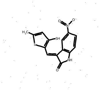 Cc1cc(S)c(C=C2C(=O)Nc3ccc([N+](=O)[O-])cc32)s1